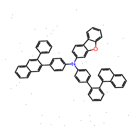 c1ccc(-c2cc3ccccc3cc2-c2ccc(N(c3ccc(-c4ccccc4-c4cccc5ccccc45)cc3)c3ccc4c(c3)oc3ccccc34)cc2)cc1